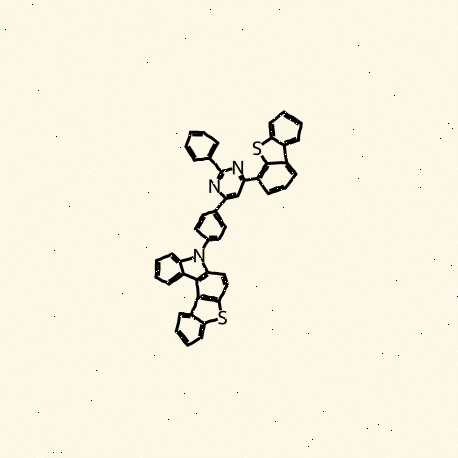 c1ccc(-c2nc(-c3ccc(-n4c5ccccc5c5c6c(ccc54)sc4ccccc46)cc3)cc(-c3cccc4c3sc3ccccc34)n2)cc1